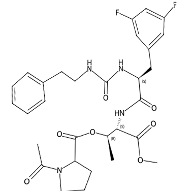 COC(=O)[C@@H](NC(=O)[C@H](Cc1cc(F)cc(F)c1)NC(=O)NCCc1ccccc1)[C@@H](C)OC(=O)C1CCCN1C(C)=O